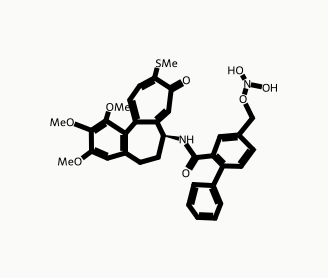 COc1cc2c(c(OC)c1OC)-c1ccc(SC)c(=O)cc1[C@@H](NC(=O)c1cc(CON(O)O)ccc1-c1ccccc1)CC2